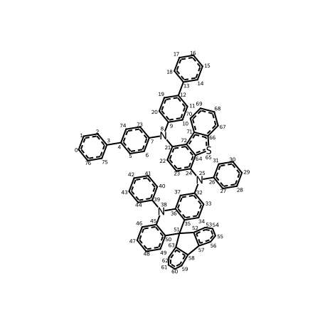 c1ccc(-c2ccc(N(c3ccc(-c4ccccc4)cc3)c3ccc(N(c4ccccc4)c4ccc5c(c4)N(c4ccccc4)c4ccccc4C54c5ccccc5-c5ccccc54)c4sc5ccccc5c34)cc2)cc1